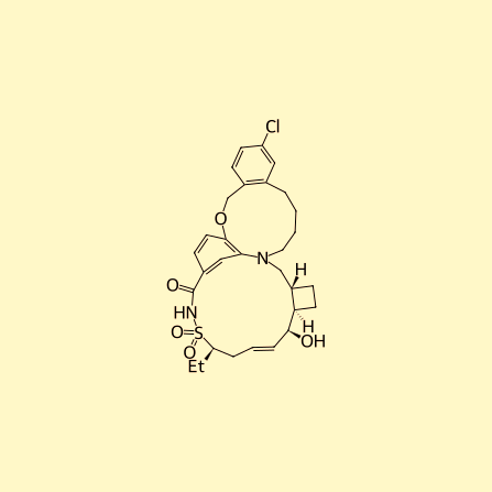 CC[C@@H]1C/C=C/[C@H](O)[C@@H]2CC[C@H]2CN2CCCCc3cc(Cl)ccc3COc3ccc(cc32)C(=O)NS1(=O)=O